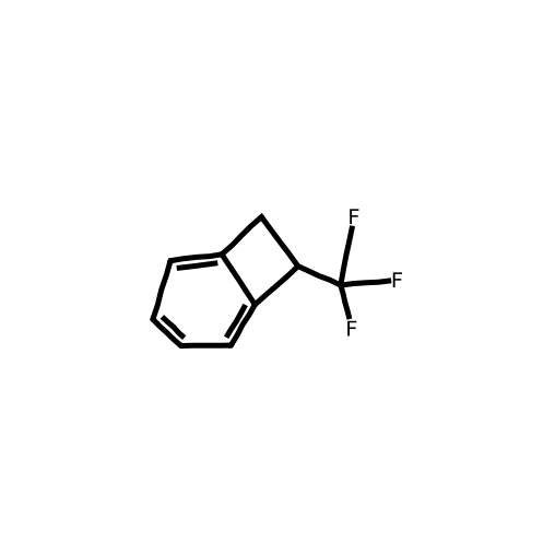 FC(F)(F)C1Cc2ccccc21